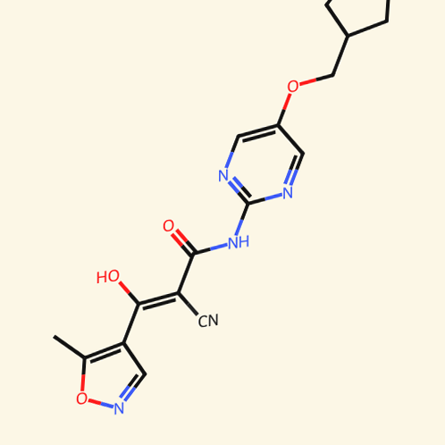 Cc1oncc1/C(O)=C(\C#N)C(=O)Nc1ncc(OCC2CCCC2)cn1